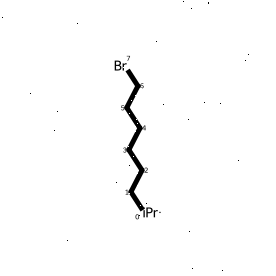 C[C](C)CCCCCCBr